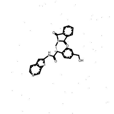 O=C(Nc1cc2ccncc2s1)[C@H](CN1C(=O)c2ccccc2C1=O)c1ccc(CO)cc1